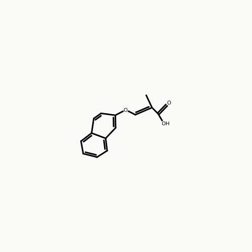 C/C(=C\Oc1ccc2ccccc2c1)C(=O)O